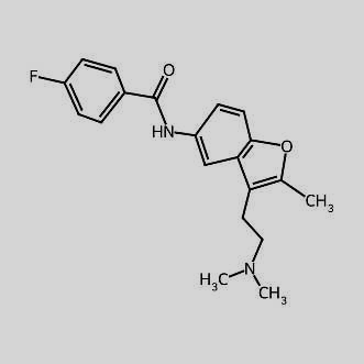 Cc1oc2ccc(NC(=O)c3ccc(F)cc3)cc2c1CCN(C)C